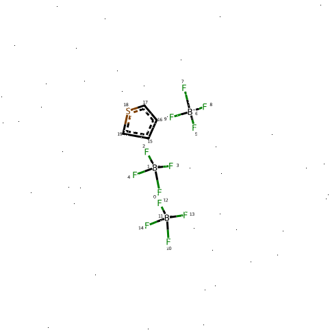 F[B-](F)(F)F.F[B-](F)(F)F.F[B-](F)(F)F.c1ccsc1